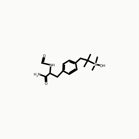 CC(C)(Cc1ccc(CC(NC=O)C(N)=O)cc1)[Si](C)(C)O